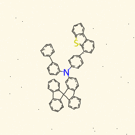 c1ccc(-c2cccc(N(c3ccc(-c4cccc5c4sc4ccccc45)cc3)c3ccc4c(c3)C3(c5ccccc5-c5ccccc53)c3ccccc3-4)c2)cc1